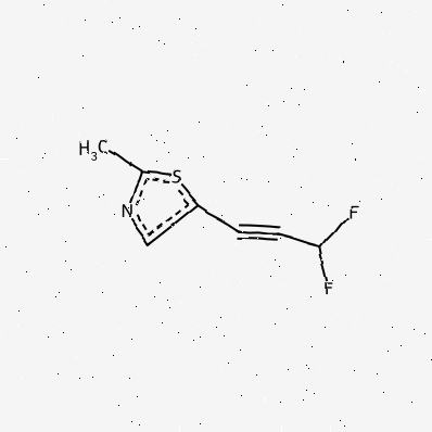 Cc1ncc(C#CC(F)F)s1